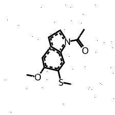 COc1cc2ccn(C(C)=O)c2cc1SC